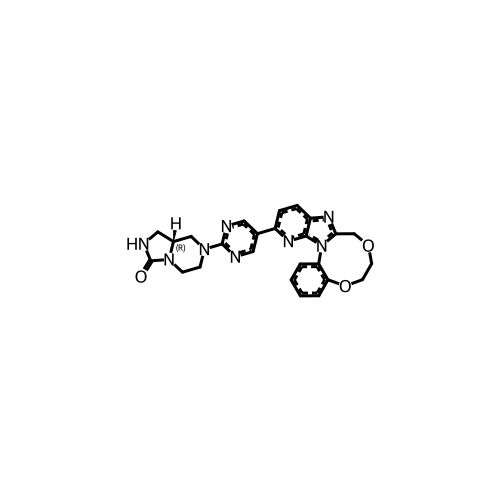 O=C1NC[C@@H]2CN(c3ncc(-c4ccc5nc6n(c5n4)-c4ccccc4OCCOC6)cn3)CCN12